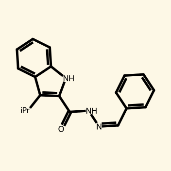 CC(C)c1c(C(=O)N/N=C\c2ccccc2)[nH]c2ccccc12